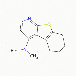 CCN(C)c1ccnc2sc3c(c12)CCCC3